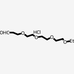 CCOCCOCCOCCOCCC=O.Cl